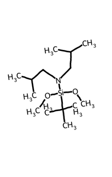 CO[Si](OC)(N(CC(C)C)CC(C)C)C(C)(C)C